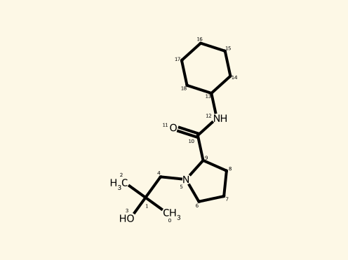 CC(C)(O)CN1CCCC1C(=O)NC1CCCCC1